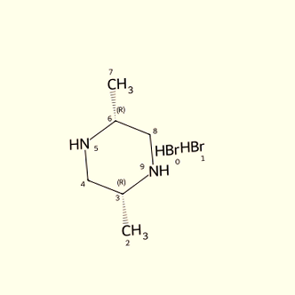 Br.Br.C[C@@H]1CN[C@H](C)CN1